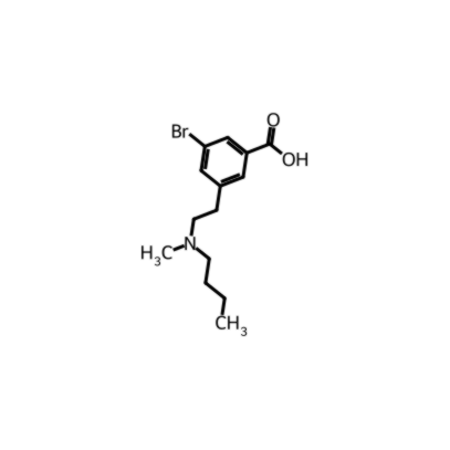 CCCCN(C)CCc1cc(Br)cc(C(=O)O)c1